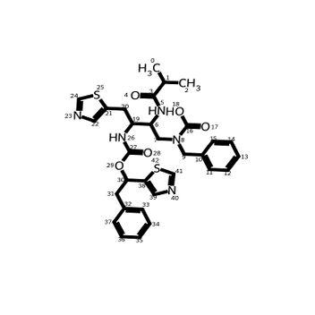 CC(C)C(=O)NC(CN(Cc1ccccc1)C(=O)O)C(Cc1cncs1)NC(=O)OC(Cc1ccccc1)c1cncs1